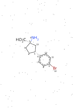 N[C@]1(C(=O)O)CC[C@@H](c2ccc(Br)cc2)C1